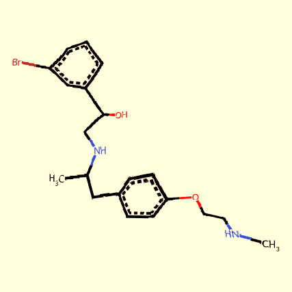 CNCCOc1ccc(CC(C)NCC(O)c2cccc(Br)c2)cc1